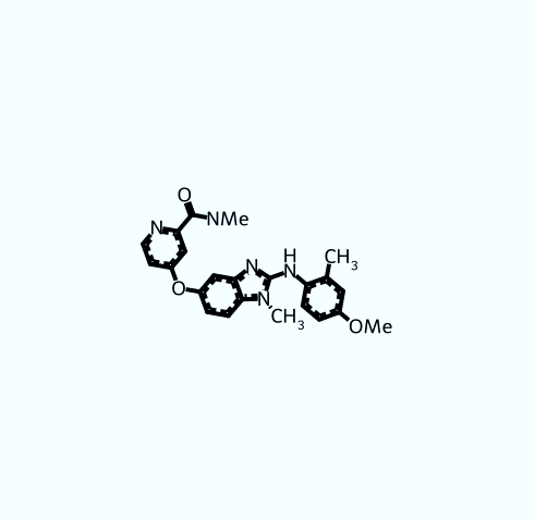 CNC(=O)c1cc(Oc2ccc3c(c2)nc(Nc2ccc(OC)cc2C)n3C)ccn1